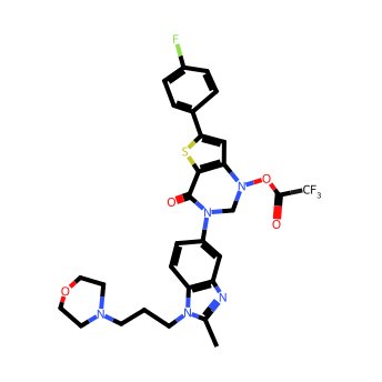 Cc1nc2cc(N3CN(OC(=O)C(F)(F)F)c4cc(-c5ccc(F)cc5)sc4C3=O)ccc2n1CCCN1CCOCC1